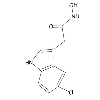 O=C(Cc1c[nH]c2ccc(Cl)cc12)NO